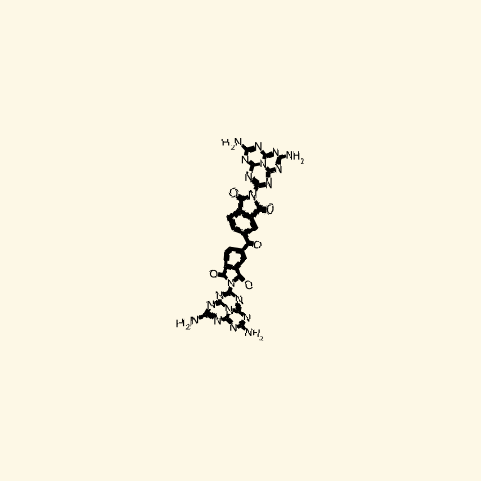 NC1=NC2=NC(N)=NC3=NC(N4C(=O)c5ccc(C(=O)c6ccc7c(c6)C(=O)N(C6=NC8=NC(N)=NC9=NC(N)=NC(=N6)N98)C7=O)cc5C4=O)=NC(=N1)N23